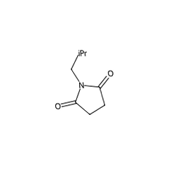 CC(C)CN1C(=O)CCC1=O